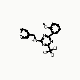 COc1ccccc1-c1nc(NCc2cccnc2)nc(C(Cl)(Cl)Cl)n1